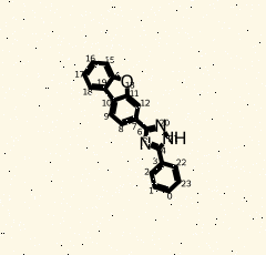 c1ccc(-c2nc(-c3ccc4c(c3)oc3ccccc34)n[nH]2)cc1